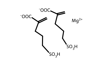 C=C(CCCS(=O)(=O)O)C(=O)[O-].C=C(CCCS(=O)(=O)O)C(=O)[O-].[Mg+2]